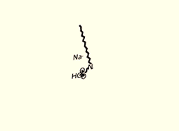 CCCCCCCCCCCCCCCCN(C)CCS(=O)(=O)O.[Na]